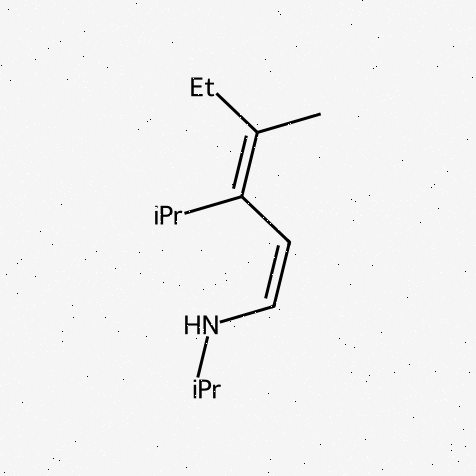 CC/C(C)=C(/C=C\NC(C)C)C(C)C